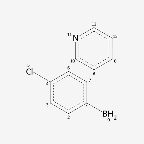 Bc1ccc(Cl)cc1.c1ccncc1